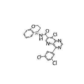 O=C(N[C@H]1CCOc2ccccc21)c1cnc2c(-c3cc(Cl)cc(Cl)c3)ncnc2c1Cl